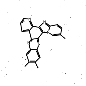 Cc1ccc2nc3c4ncccc4c4nc5cc(C)c(C)cc5nc4c3n2c1